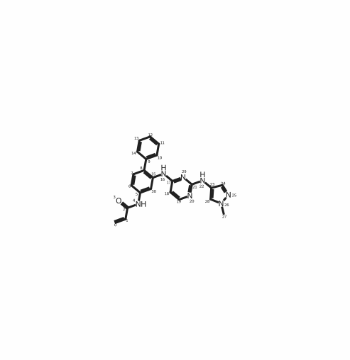 C=CC(=O)Nc1ccc(-c2ccccc2)c(Nc2ccnc(Nc3cnn(C)c3)n2)c1